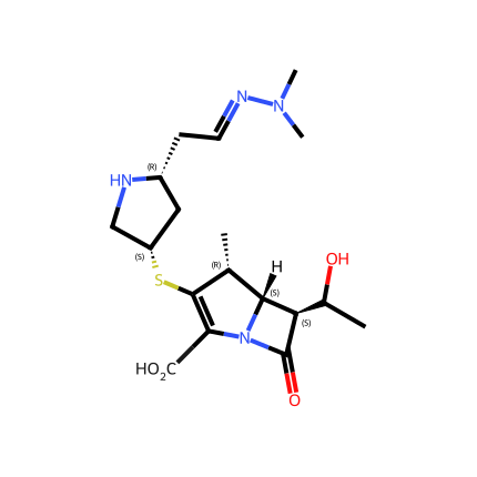 CC(O)[C@H]1C(=O)N2C(C(=O)O)=C(S[C@@H]3CN[C@H](CC=NN(C)C)C3)[C@H](C)[C@H]12